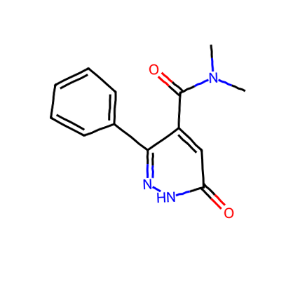 CN(C)C(=O)c1cc(=O)[nH]nc1-c1ccccc1